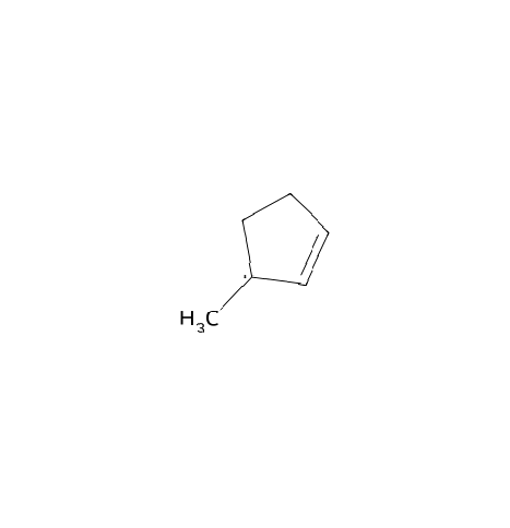 C[C]1C=CCC1